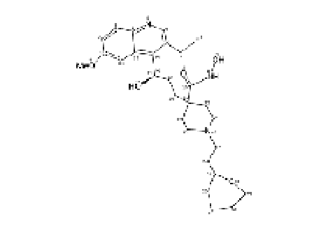 COc1ccc2ncc(CF)c([C@H](O)CCC3(C(=O)NO)CCN(CCC4CCCCC4)CC3)c2c1